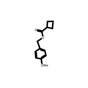 COc1ccc(COC(=O)C2CCC2)cc1